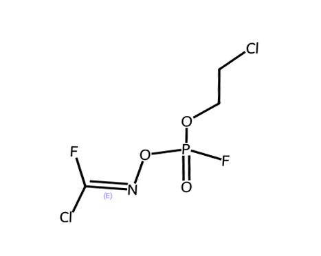 O=P(F)(OCCCl)O/N=C(\F)Cl